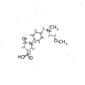 COCCN(C)Cc1ccc(N2C[C@@H](C(=O)O)CC2=O)cc1